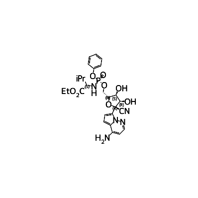 CCOC(=O)[C@@H](NP(=O)(OC[C@H]1O[C@@](C#N)(c2ccc3c(N)ccnn23)[C@H](O)[C@@H]1O)Oc1ccccc1)C(C)C